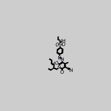 CCCCC(CC)Cn1c(O)c(/N=N/c2ccc(S(=O)(=O)NCC)cc2)c(C)c(C#N)c1=O